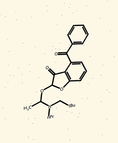 CCCN(CC(C)(C)C)C(C)OC1Oc2cccc(C(=O)c3ccccc3)c2C1=O